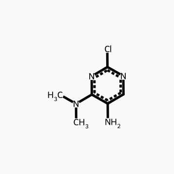 CN(C)c1nc(Cl)ncc1N